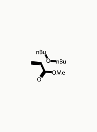 C=CC(=O)OC.CCCCOCCCC